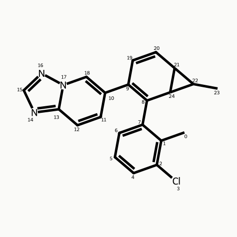 Cc1c(Cl)cccc1C1=C(c2ccc3ncnn3c2)C=CC2C(C)C12